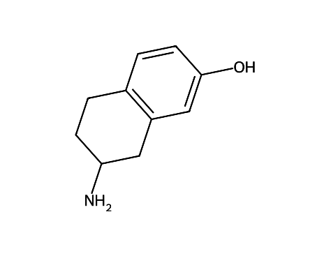 NC1CCc2ccc(O)cc2C1